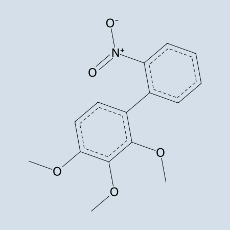 COc1ccc(-c2ccccc2[N+](=O)[O-])c(OC)c1OC